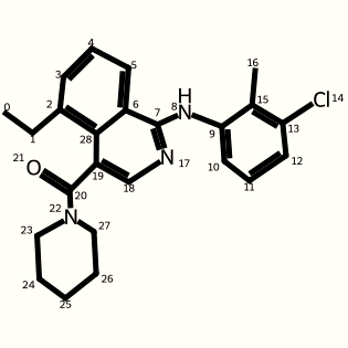 CCc1cccc2c(Nc3cccc(Cl)c3C)ncc(C(=O)N3CCCCC3)c12